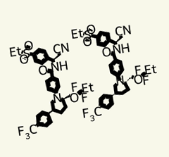 CCC(F)(F)OC[C@@H]1CC[C@H](c2ccc(C(F)(F)F)cc2)CN1c1ccc(C(=O)N[C@H](CC#N)c2ccc(S(=O)(=O)CC)cc2)cc1.CCC(F)(F)OC[C@H]1CC[C@@H](c2ccc(C(F)(F)F)cc2)CN1c1ccc(C(=O)N[C@H](CC#N)c2ccc(S(=O)(=O)CC)cc2)cc1